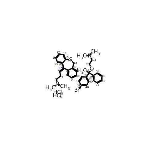 CN(C)CC/C=C1\c2ccccc2CSc2ccccc21.CN(C)CCOC(C)(c1ccccc1)c1ccc(Br)cc1.Cl.Cl